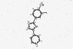 Cc1cc(-c2nc(-c3ccncc3)no2)ccc1C#N